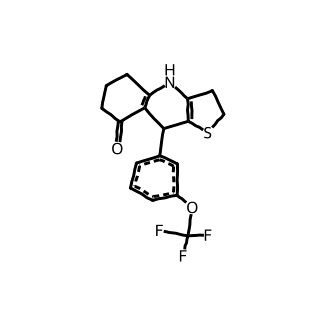 O=C1CCCC2=C1C(c1cccc(OC(F)(F)F)c1)C1=C(CCS1)N2